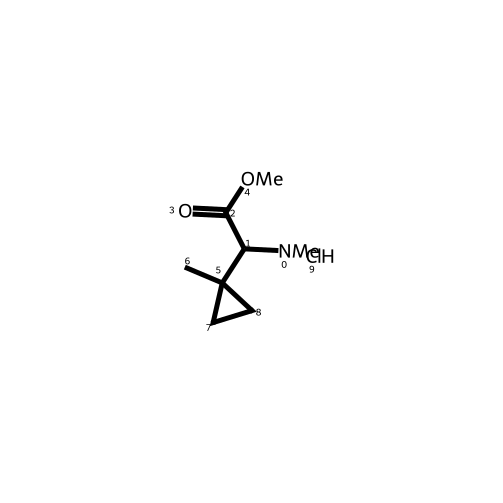 CNC(C(=O)OC)C1(C)CC1.Cl